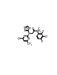 CN(C(=O)CN(c1nc(Cl)cc(C(F)(F)F)n1)c1nnc[nH]1)c1ccc(F)c(Cl)c1F